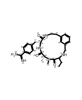 CCC1NCc2cccc(c2)CCNC(=O)[C@@H](Cc2ccc(C(=N)N)cc2)NC(=O)[C@@H](C)N(C)C1=O